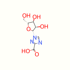 O=C(O)c1ncn([C@@H]2O[C@H](CO)[C@@H](O)[C@H]2O)n1